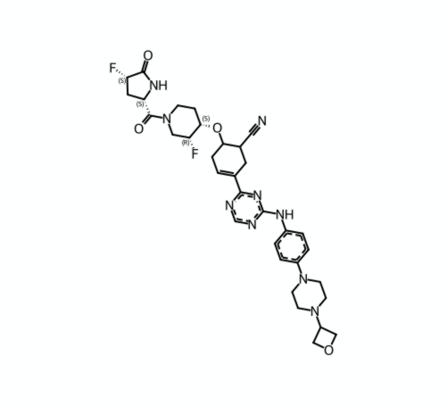 N#CC1CC(c2ncnc(Nc3ccc(N4CCN(C5COC5)CC4)cc3)n2)=CCC1O[C@H]1CCN(C(=O)[C@@H]2C[C@H](F)C(=O)N2)C[C@H]1F